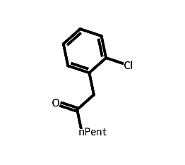 CCCCCC(=O)Cc1ccccc1Cl